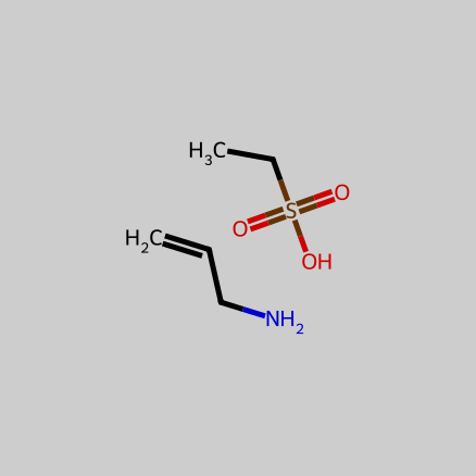 C=CCN.CCS(=O)(=O)O